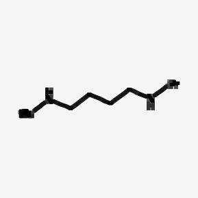 CC(C)NCCCCNC(C)(C)C